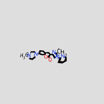 Cc1nc(-c2cc3ccc(N4CCCN(C)CC4)cc3oc2=O)cn1-c1ccccn1